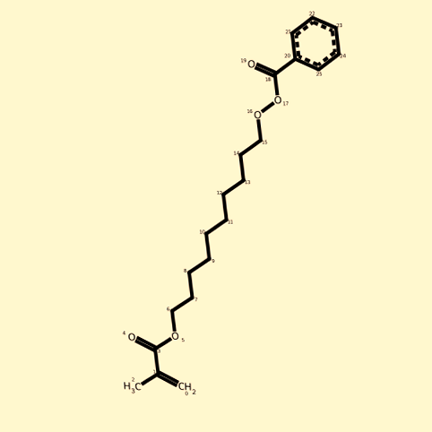 C=C(C)C(=O)OCCCCCCCCCCOOC(=O)c1ccccc1